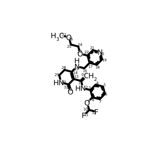 C=C(Nc1ccccc1OC(F)F)C1=C(NCc2ccncc2OCCOC)CCNC1=O